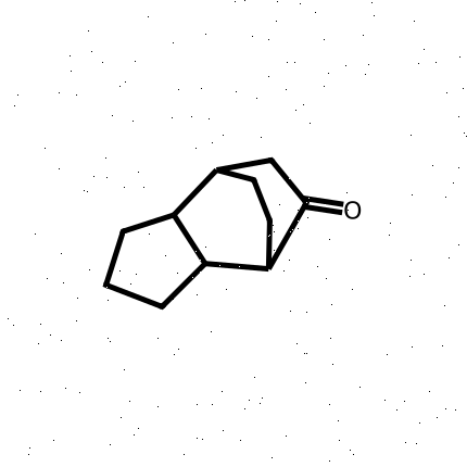 O=C1CC2CCC1C1CCCC21